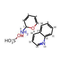 NC1C=CC=CO1.O=S(=O)(O)O.c1ccc2ncccc2c1